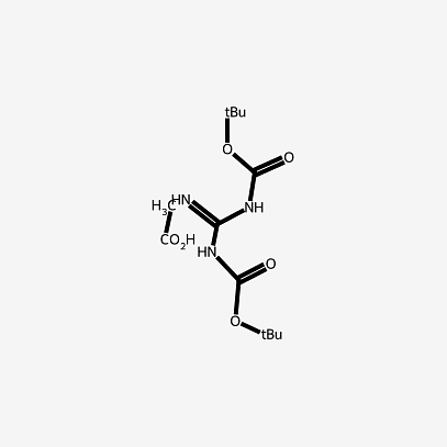 CC(=O)O.CC(C)(C)OC(=O)NC(=N)NC(=O)OC(C)(C)C